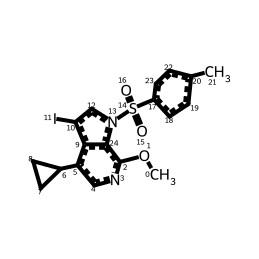 COc1ncc(C2CC2)c2c(I)cn(S(=O)(=O)c3ccc(C)cc3)c12